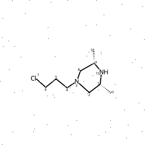 C[C@@H]1CN(CCCCl)C[C@H](C)N1